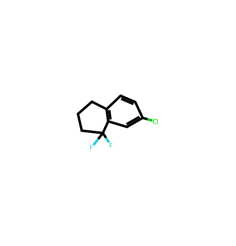 FC1(F)CCCc2ccc(Cl)cc21